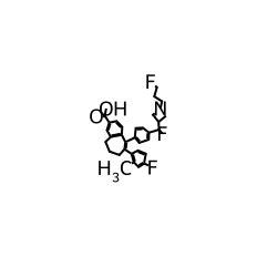 Cc1cc(F)ccc1C1=C(c2ccc(C(F)C3CN(CCCF)C3)cc2)c2ccc(C(=O)O)cc2CCC1